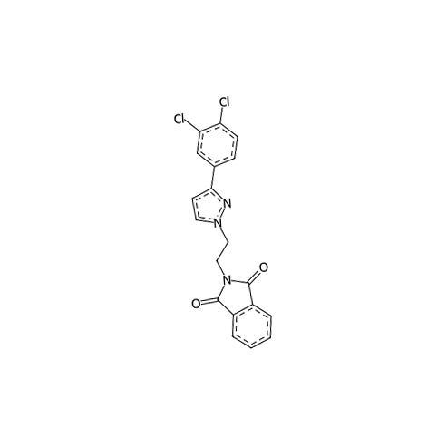 O=C1c2ccccc2C(=O)N1CCn1ccc(-c2ccc(Cl)c(Cl)c2)n1